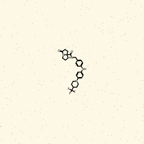 O=C1CCC2(C(=O)NCc3ccc(Nc4ccc(N5CCC(C(F)(F)F)CC5)cc4)cc3)CCCN12